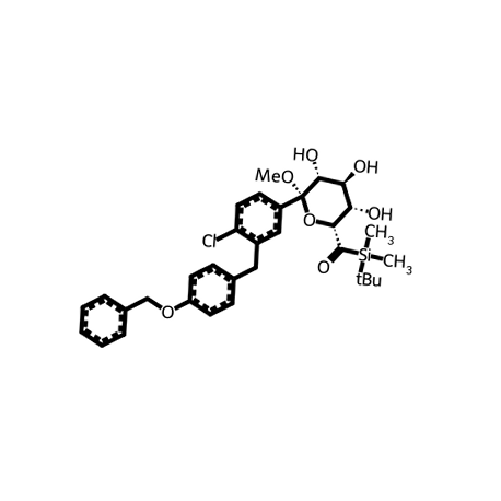 CO[C@@]1(c2ccc(Cl)c(Cc3ccc(OCc4ccccc4)cc3)c2)O[C@@H](C(=O)[Si](C)(C)C(C)(C)C)[C@@H](O)[C@H](O)[C@H]1O